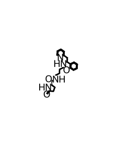 O=C(CCCNC(=O)[C@H]1CCC(=O)N1)NC(Cc1ccccn1)c1ccccc1